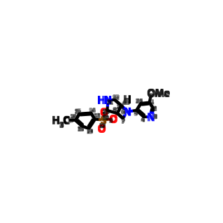 COc1cncc(N2C[C@]3(OS(=O)(=O)c4ccc(C)cc4)CNC[C@@H]23)c1